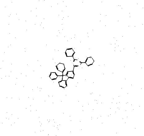 C1=CC(c2nc(-c3ccccc3)nc(-c3ccc4c(c3)C(C3=CCCC=C3)(c3ccccc3)c3ccccc3-4)n2)=CCC1